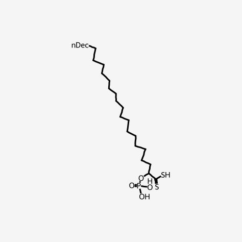 CCCCCCCCCCCCCCCCCCCCCCCCCCCC(OP(=O)(O)O)C(=S)S